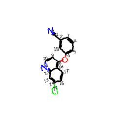 N#Cc1cccc(Oc2ccnc3cc(Cl)ccc23)c1